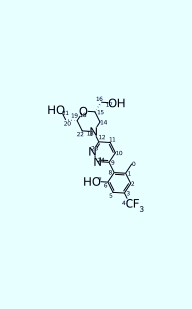 Cc1cc(C(F)(F)F)cc(O)c1-c1ccc(N2C[C@@H](CO)O[C@@H](CO)C2)nn1